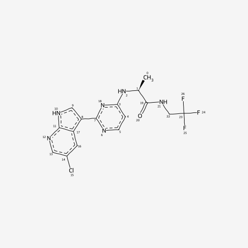 C[C@H](Nc1ccnc(-c2c[nH]c3ncc(Cl)cc23)n1)C(=O)NCC(F)(F)F